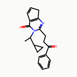 CC(C1CC1)n1c(CCC(=O)c2ccccc2)nc2c(c1=O)C=CC2